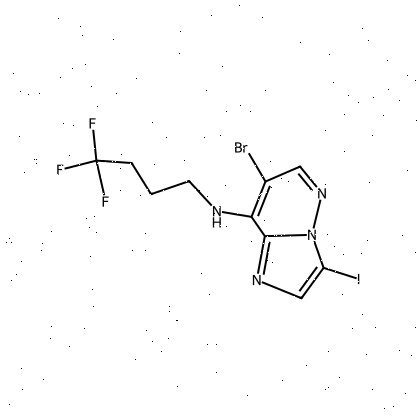 FC(F)(F)CCCNc1c(Br)cnn2c(I)cnc12